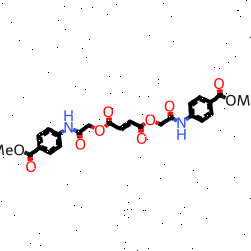 COC(=O)c1ccc(NC(=O)COC(=O)/C=C/C(=O)OCC(=O)Nc2ccc(C(=O)OC)cc2)cc1